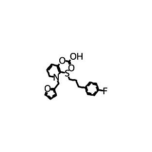 O=C(O)OC1=C(SCCCc2ccc(F)cc2)N(Cc2ccco2)CC=C1